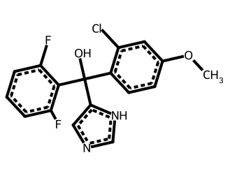 COc1ccc(C(O)(c2cnc[nH]2)c2c(F)cccc2F)c(Cl)c1